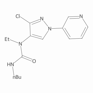 CCCCNC(=O)N(CC)c1cn(-c2cccnc2)nc1Cl